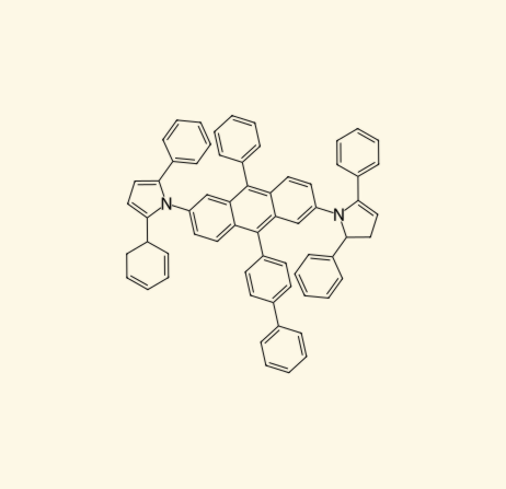 C1=CCC(c2ccc(-c3ccccc3)n2-c2ccc3c(-c4ccc(-c5ccccc5)cc4)c4cc(N5C(c6ccccc6)=CCC5c5ccccc5)ccc4c(-c4ccccc4)c3c2)C=C1